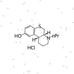 CCCN1CCC[C@@H]2c3cc(O)ccc3SC[C@@H]21.Cl